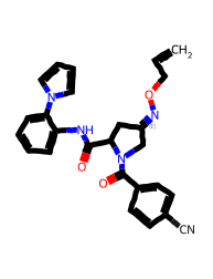 C=CCO/N=C1\CC(C(=O)Nc2ccccc2-n2cccc2)N(C(=O)c2ccc(C#N)cc2)C1